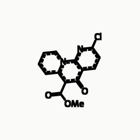 COC(=O)c1c(=O)c2ccc(Cl)nc2n2ccccc12